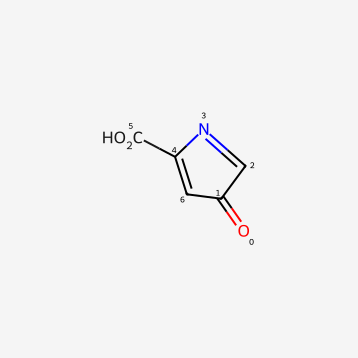 O=C1C=NC(C(=O)O)=C1